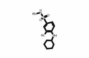 CC(C)(C)NS(=O)(=O)c1ccc(NC2CCCCC2)c(C#N)c1